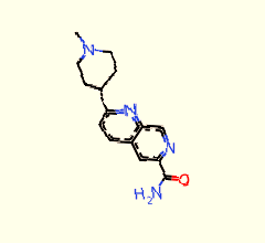 CN1CCC(c2ccc3cc(C(N)=O)ncc3n2)CC1